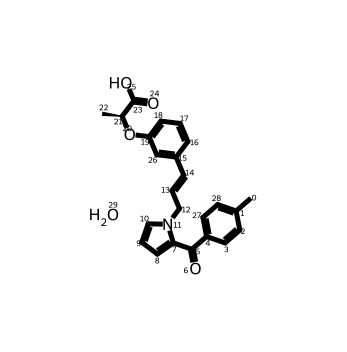 Cc1ccc(C(=O)c2cccn2CC=Cc2cccc(O[C@@H](C)C(=O)O)c2)cc1.O